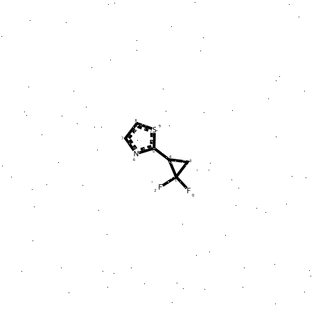 FC1(F)CC1c1n[c]cs1